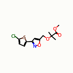 COC(=O)C(C)(C)OCc1cc(-c2ccc(Cl)s2)no1